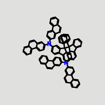 c1ccc(C2(C3(c4ccccc4)c4ccccc4-c4ccc(N(c5ccc6c(ccc7ccccc76)c5)c5ccc6c(ccc7ccccc76)c5)cc43)c3ccccc3-c3ccc(N(c4ccc5c(ccc6ccccc65)c4)c4ccc5c(ccc6ccccc65)c4)cc32)cc1